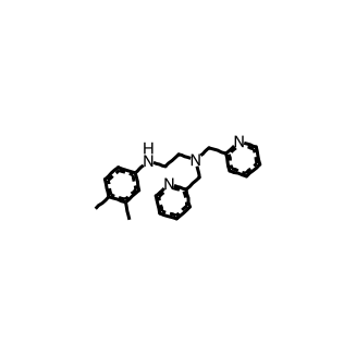 Cc1ccc(NCCN(Cc2ccccn2)Cc2ccccn2)cc1C